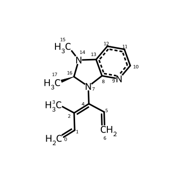 C=C/C(C)=C(\C=C)N1c2ncccc2N(C)[C@@H]1C